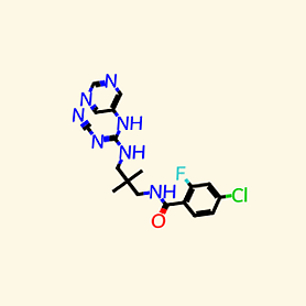 CC(C)(CNC(=O)c1ccc(Cl)cc1F)CNC(=NC#N)Nc1cncnc1